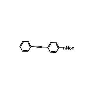 CCCCCCCCCc1ccc(C#Cc2ccccc2)cc1